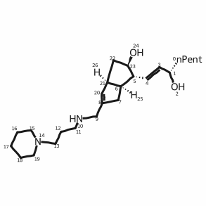 CCCCC[C@H](O)/C=C/[C@@H]1[C@H]2CC(CNCCCN3CCCCC3)=C[C@H]2C[C@H]1O